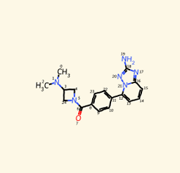 CN(C)C1CN(C(=O)c2ccc(-c3cccc4nc(N)nn34)cc2)C1